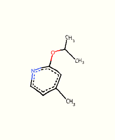 Cc1ccnc(OC(C)C)c1